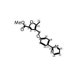 COC(=O)c1cc(COc2ccc(-c3ncccn3)cc2)c(C)o1